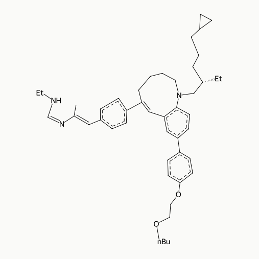 CCCCOCCOc1ccc(-c2ccc3c(c2)/C=C(/c2ccc(/C=C(C)/N=C\NCC)cc2)CCCCN3C[C@@H](CC)CCCC2CC2)cc1